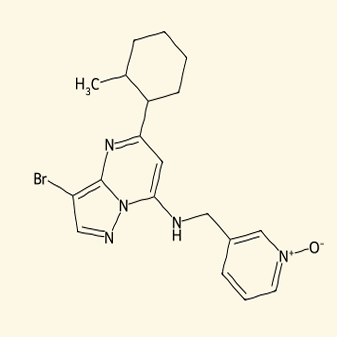 CC1CCCCC1c1cc(NCc2ccc[n+]([O-])c2)n2ncc(Br)c2n1